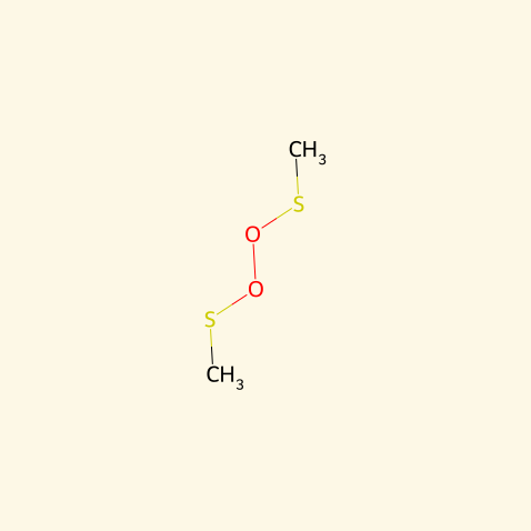 CSOOSC